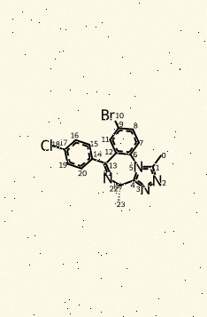 Cc1nnc2n1-c1ccc(Br)cc1C(c1ccc(Cl)cc1)=N[C@H]2C